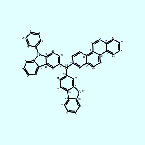 c1ccc(-n2c3ccccc3c3cc(N(c4ccc5c(ccc6c7ccccc7ccc56)c4)c4ccc5c(c4)oc4ccccc45)ccc32)cc1